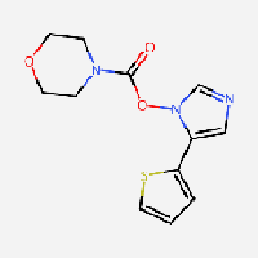 O=C(On1cncc1-c1cccs1)N1CCOCC1